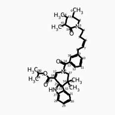 CCCN(CC/C=C\Cc1cccc(C(=O)N2C=C(C(=O)OC(C)C)c3[nH]c4ccccc4c3C(C)(C)C2)c1)C(=O)C(C)CC